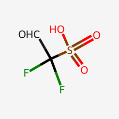 O=CC(F)(F)S(=O)(=O)O